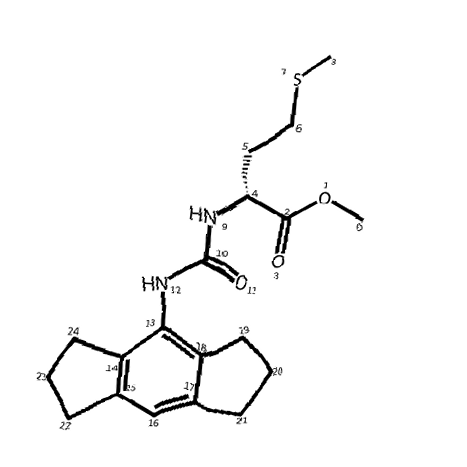 COC(=O)[C@@H](CCSC)NC(=O)Nc1c2c(cc3c1CCC3)CCC2